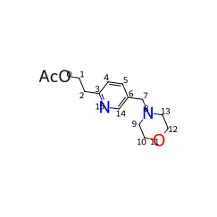 CC(=O)OCCc1ccc(CN2CCOCC2)cn1